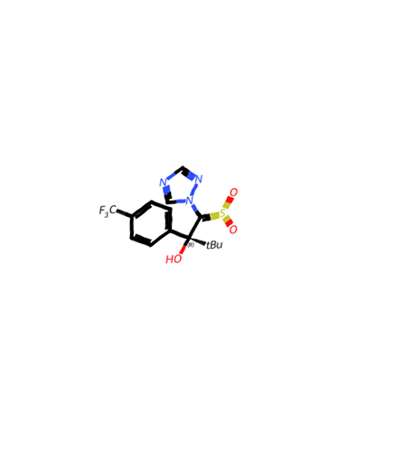 CC(C)(C)[C@](O)(C(n1cncn1)=S(=O)=O)c1ccc(C(F)(F)F)cc1